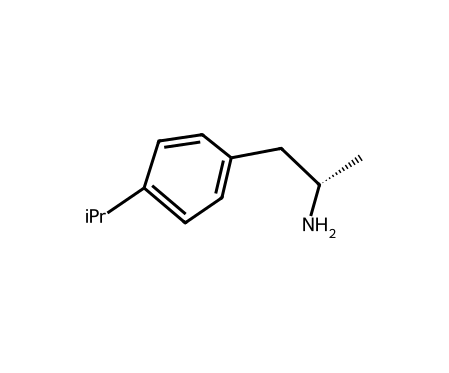 CC(C)c1ccc(C[C@H](C)N)cc1